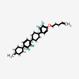 C=CCCCOc1ccc(C2CCC(c3ccc(C4CCC(C)CC4)c(F)c3F)CC2)c(F)c1F